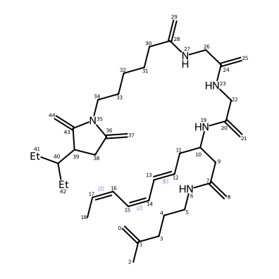 C=C(C)CCCNC(=C)CC(C/C=C/C=C\C=C/C)NC(=C)CNC(=C)CNC(=C)CCCCCN1C(=C)CC(C(CC)CC)C1=C